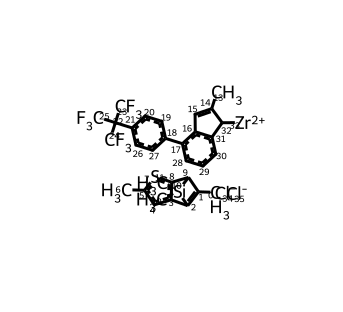 CC1=C2c3cc(C)sc3C1[Si]2(C)C.CC1=Cc2c(-c3ccc(C(C(F)(F)F)(C(F)(F)F)C(F)(F)F)cc3)cccc2[CH]1[Zr+2].[Cl-].[Cl-]